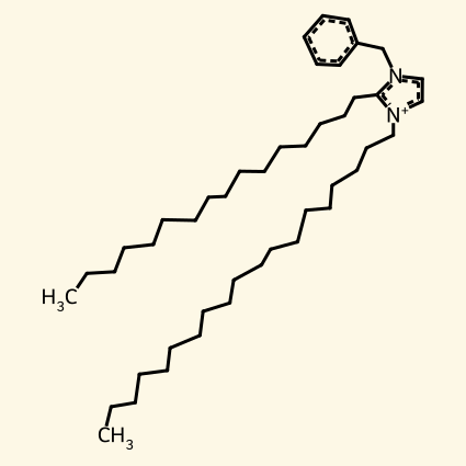 CCCCCCCCCCCCCCCCCCC[n+]1ccn(Cc2ccccc2)c1CCCCCCCCCCCCCCCC